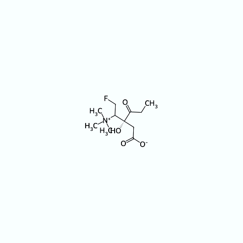 CCC(=O)[C@@](O)(CC(=O)[O-])C(CF)[N+](C)(C)C